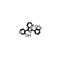 Oc1cnccc1-c1nc(-c2cccc(F)c2O)n2ncccc12